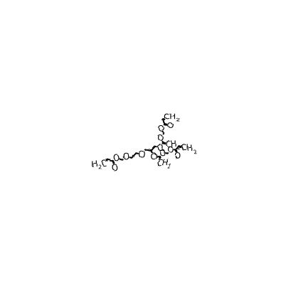 C=CC(=O)OCOCCOCC(COC(=C)OCOC(=O)C=C)OC(=C)OCOC(=O)C=C